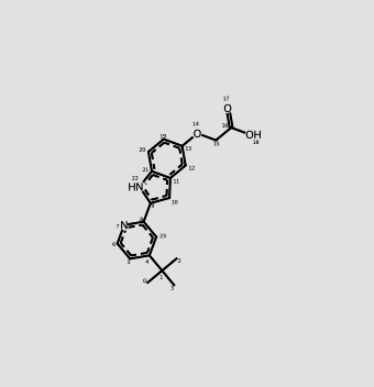 CC(C)(C)c1ccnc(-c2cc3cc(OCC(=O)O)ccc3[nH]2)c1